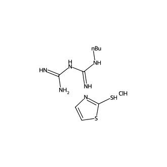 CCCCNC(=N)NC(=N)N.Cl.Sc1nccs1